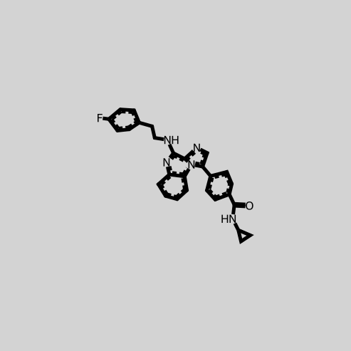 O=C(NC1CC1)c1ccc(-c2cnc3c(NCCc4ccc(F)cc4)nc4ccccc4n23)cc1